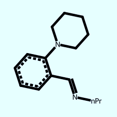 CCCN=Cc1ccccc1N1CCCCC1